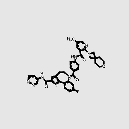 Cc1cnc(N2CC3(CCOCC3)C2)c(C(=O)Nc2ccc(C(=O)N3CCc4cc(C(=O)Nc5ccnnc5)sc4-c4ccc(F)cc43)cc2)c1